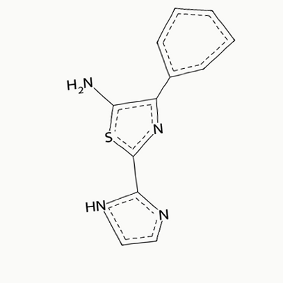 Nc1sc(-c2ncc[nH]2)nc1-c1ccccc1